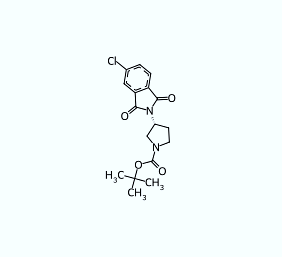 CC(C)(C)OC(=O)N1CC[C@@H](N2C(=O)c3ccc(Cl)cc3C2=O)C1